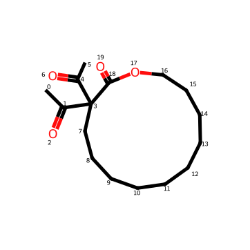 CC(=O)C1(C(C)=O)CCCCCCCCCCOC1=O